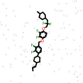 C/C=C/C1CCC(c2ccc(COc3ccc(OCC(F)(F)CC4CCC(C)CC4)c(F)c3F)c(F)c2F)CC1